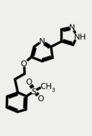 CS(=O)(=O)c1ccccc1CCOc1ccc(-c2cn[nH]c2)nc1